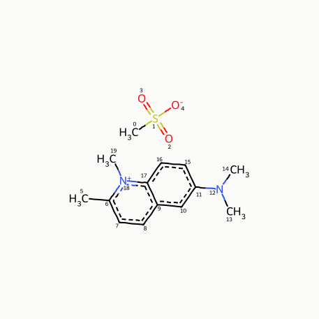 CS(=O)(=O)[O-].Cc1ccc2cc(N(C)C)ccc2[n+]1C